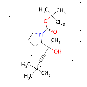 CC(C)(C)OC(=O)N1CCC[C@H]1[C@@](C)(O)C#C[Si](C)(C)C